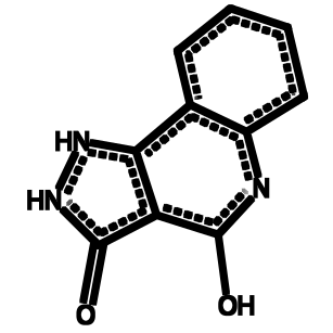 O=c1[nH][nH]c2c1c(O)nc1ccccc12